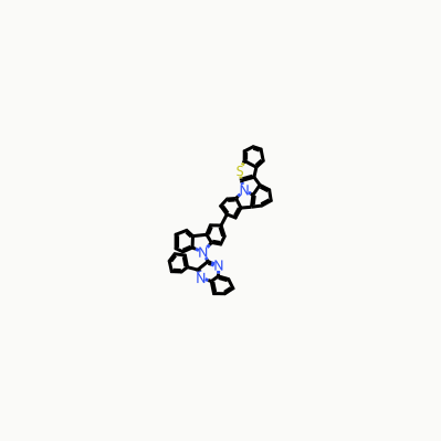 c1ccc(-c2nc3ccccc3nc2-n2c3ccccc3c3cc(-c4ccc5c(c4)c4cccc6c7c8ccccc8sc7n5c46)ccc32)cc1